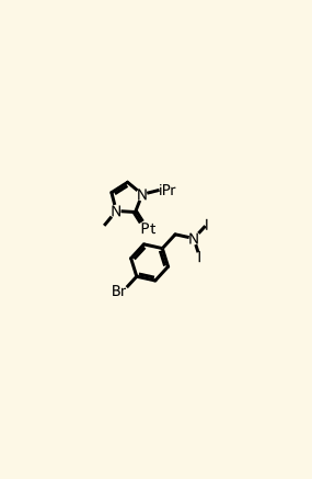 Brc1ccc(CN(I)I)cc1.CC(C)n1ccn(C)[c]1=[Pt]